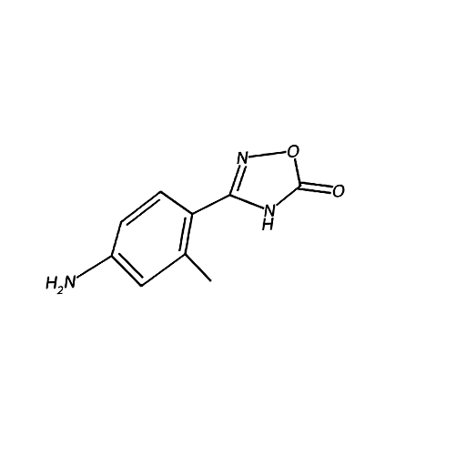 Cc1cc(N)ccc1-c1noc(=O)[nH]1